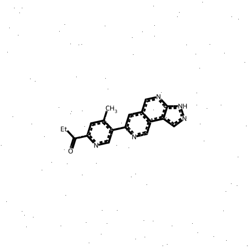 CCC(=O)c1cc(C)c(-c2cc3cnc4[nH]ncc4c3cn2)cn1